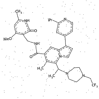 COc1cc(C)[nH]c(=O)c1CNC(=O)c1cc2c(-c3ccnc(C(C)C)c3)ccn2c(C(C)N2CCN(CC(F)(F)F)CC2)c1C